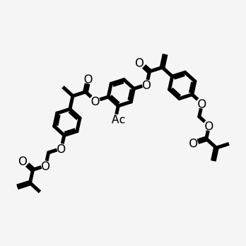 C=C(C)C(=O)OCOc1ccc(C(=C)C(=O)Oc2ccc(OC(=O)C(C)c3ccc(OCOC(=O)C(=C)C)cc3)c(C(C)=O)c2)cc1